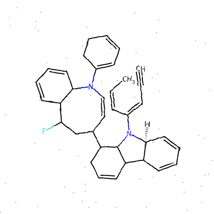 C#C/C=C(\C=C/C)N1C2C(C=CCC2C2/C=C\N(C3=CC=CCC3)C3C=CC=CC3C(F)C2)C2C=CC=C[C@@H]21